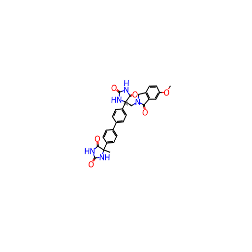 COc1ccc2c(c1)C(=O)N(C[C@@]1(c3ccc(-c4ccc(C5(C)NC(=O)NC5=O)cc4)cc3)NC(=O)NC1=O)C2